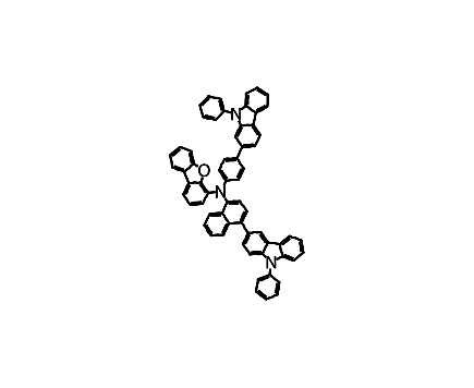 c1ccc(-n2c3ccccc3c3cc(-c4ccc(N(c5ccc(-c6ccc7c8ccccc8n(-c8ccccc8)c7c6)cc5)c5cccc6c5oc5ccccc56)c5ccccc45)ccc32)cc1